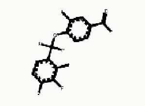 CC(=O)c1ccc(OC(F)(F)c2ccc(F)c(F)c2F)c(C)c1